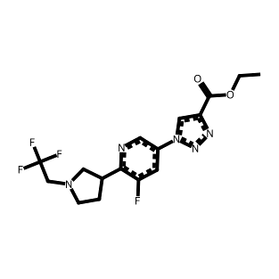 CCOC(=O)c1cn(-c2cnc(C3CCN(CC(F)(F)F)C3)c(F)c2)nn1